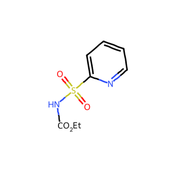 CCOC(=O)NS(=O)(=O)c1ccccn1